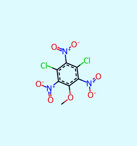 COc1c([N+](=O)[O-])c(Cl)c([N+](=O)[O-])c(Cl)c1[N+](=O)[O-]